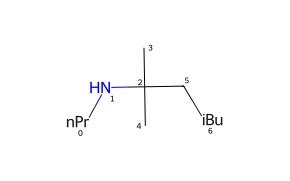 CCCNC(C)(C)CC(C)CC